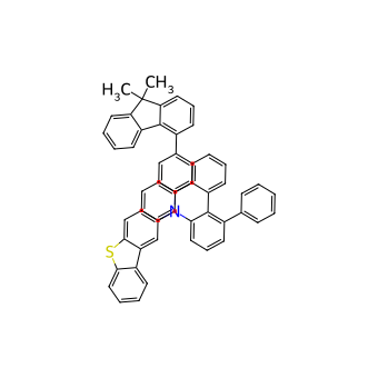 CC1(C)c2ccccc2-c2c(-c3ccc(N(c4ccc5sc6ccccc6c5c4)c4cccc(-c5ccccc5)c4-c4ccccc4-c4ccccc4)cc3)cccc21